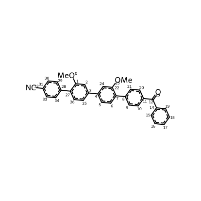 COc1cc(-c2ccc(-c3ccc(C(=O)c4ccccc4)cc3)c(OC)c2)ccc1-c1ccc(C#N)cc1